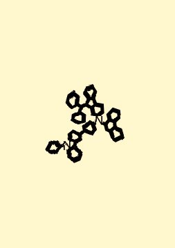 c1ccc(C(=C2c3ccccc3-c3ccc(N(c4ccc(-c5ccc6c(c5)c5ccccc5n6-c5ccccc5)cc4)c4cc5ccccc5c5ccccc45)cc32)c2ccccc2)cc1